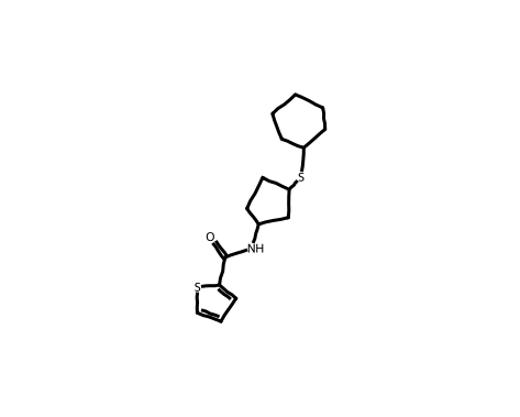 O=C(NC1CCC(SC2CCCCC2)C1)c1cccs1